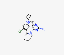 Cc1cc(N2CCCCCC2c2cc(NC3CCC3)ccc2Cl)nc(N)n1